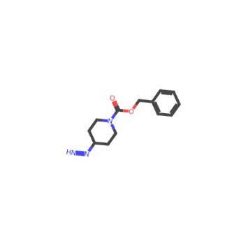 N=NC1CCN(C(=O)OCc2ccccc2)CC1